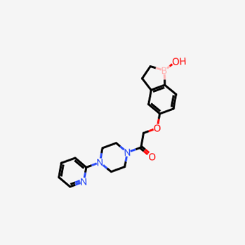 O=C(COc1ccc2c(c1)CCB2O)N1CCN(c2ccccn2)CC1